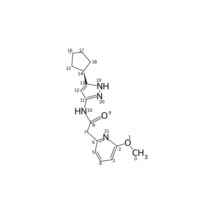 COc1cccc(CC(=O)Nc2cc([C@H]3C[CH]CC3)[nH]n2)n1